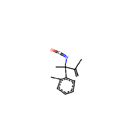 C=C(C)C(C)(N=C=O)c1ccccc1C